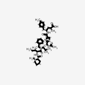 CC[C@H](C)[C@H](NC(=O)[C@H]1CCCCN1C)C(=O)N(Cc1ccccc1)[C@H](C[C@@H](OC(C)=O)c1nc(C(=O)N[C@@H](Cc2ccc(C)cc2)C[C@H](C)C(=O)O)cs1)C(C)C